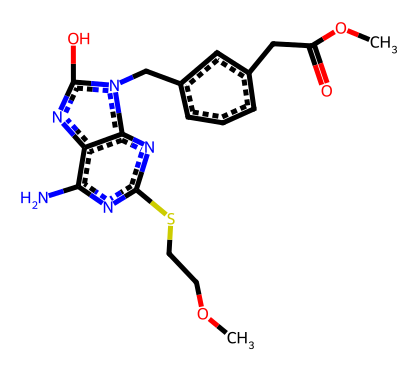 COCCSc1nc(N)c2nc(O)n(Cc3cccc(CC(=O)OC)c3)c2n1